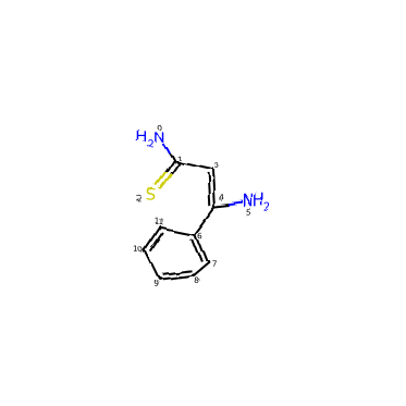 NC(=S)/C=C(/N)c1ccccc1